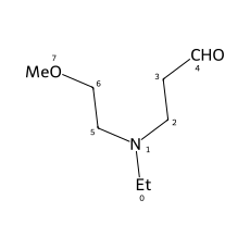 CCN(CCC=O)CCOC